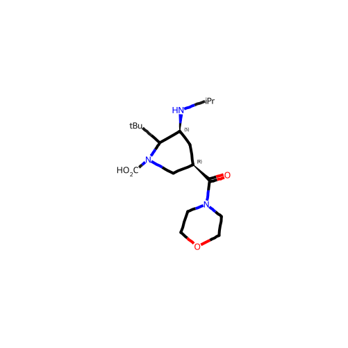 CC(C)N[C@H]1C[C@@H](C(=O)N2CCOCC2)CN(C(=O)O)C1C(C)(C)C